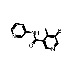 Cc1c(Br)cncc1C(=O)Nc1cccnc1